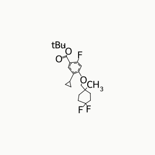 CC1(COc2cc(F)c(C(=O)OC(C)(C)C)cc2C2CC2)CCC(F)(F)CC1